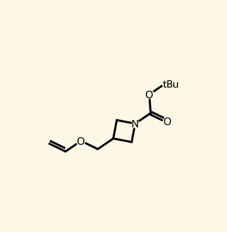 C=COCC1CN(C(=O)OC(C)(C)C)C1